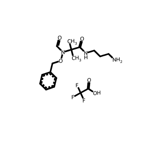 CC(C)(C(=O)NCCCN)N(C=O)OCc1ccccc1.O=C(O)C(F)(F)F